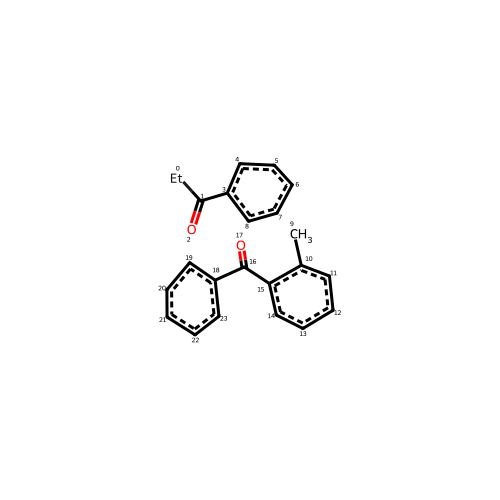 CCC(=O)c1ccccc1.Cc1ccccc1C(=O)c1ccccc1